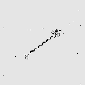 C1CO1.CCCCCCCCCCCCOS(=O)(=O)O